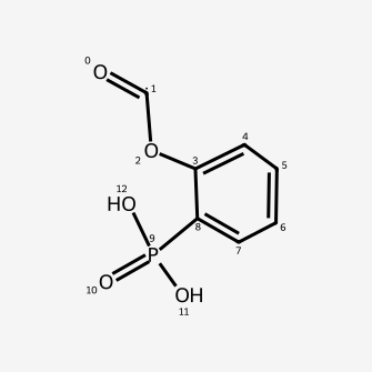 O=[C]Oc1ccccc1P(=O)(O)O